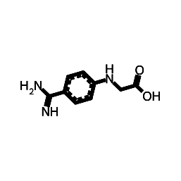 N=C(N)c1ccc(NCC(=O)O)cc1